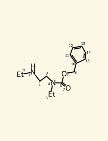 CCNCCN(CC)C(=O)OCc1ccccc1